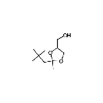 CC(C)(C)CC1(C)OCC(CO)O1